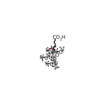 C[Si](C)(C)O[Si](C)(O[Si](C)(C)C)O[Si](CCCCCCC(=O)O)(O[Si](C)(O[Si](C)(C)C)O[Si](C)(C)C)O[Si](C)(O[Si](C)(C)C)O[Si](C)(C)C